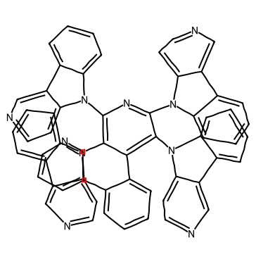 c1cncc(-c2ccccc2-c2c(-n3c4ccccc4c4cnccc43)c(-n3c4ccccc4c4cnccc43)nc(-n3c4ccccc4c4cnccc43)c2-n2c3ccccc3c3cnccc32)c1